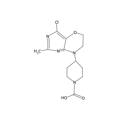 Cc1nc(Cl)c2c(n1)N(C1CCN(C(=O)O)CC1)CCO2